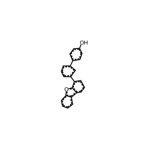 Oc1ccc(-c2cccc(-c3cccc4c3oc3ccccc34)c2)cc1